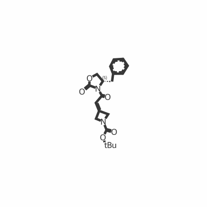 CC(C)(C)OC(=O)N1CC(=CC(=O)N2C(=O)OC[C@@H]2Cc2ccccc2)C1